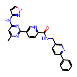 Cc1cc(Nc2ccon2)nc(-c2ccc(C(=O)NCc3ccc(-c4ccccc4)nc3)nc2)n1